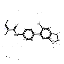 C/C=C(/C)C(=O)Nc1ccc(-c2cc3c(cc2Br)OCO3)cn1